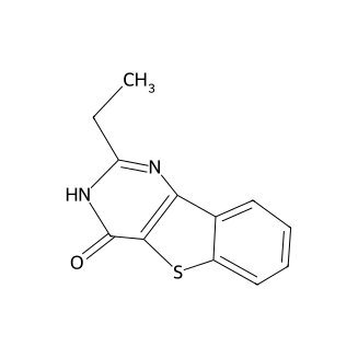 CCc1nc2c(sc3ccccc32)c(=O)[nH]1